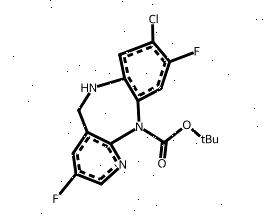 CC(C)(C)OC(=O)N1c2cc(F)c(Cl)cc2NCc2cc(F)cnc21